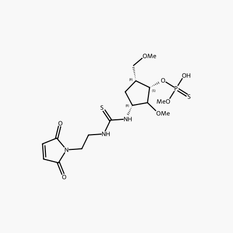 COC[C@H]1C[C@@H](NC(=S)NCCN2C(=O)C=CC2=O)C(OC)[C@H]1OP(O)(=S)OC